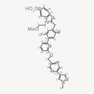 COCCn1c(Cc2cc(F)c(-c3cccc(OCc4cnc(-c5cnn(C)c5)cn4)n3)cc2F)nc2ccc(C(=O)O)cc21